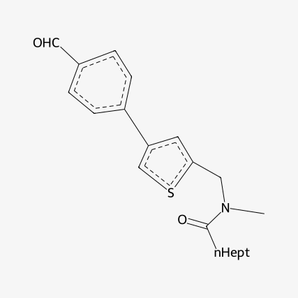 CCCCCCCC(=O)N(C)Cc1cc(-c2ccc(C=O)cc2)cs1